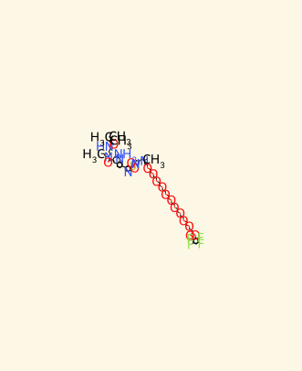 CCCN(CCCNC(=O)CC(C)(C)C)C(=O)C1=Cc2ccc(-c3cncc(S(=O)(=O)N4CC(CN(C)CCOCCOCCOCCOCCOCCOCCOCCOCCOCCOCCC(=O)Oc5c(F)c(F)cc(F)c5F)C4)c3)cc2N=C(N)C1